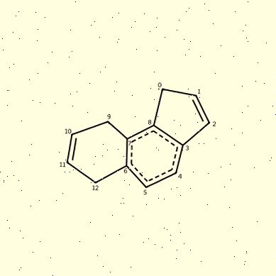 [CH]1C=Cc2ccc3c(c21)CC=CC3